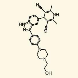 CC1=C(C#N)C(c2ccc3[nH]nc(-c4ccc(N5CCN(CCO)CC5)cc4)c3c2)C(C#N)=C(C)N1